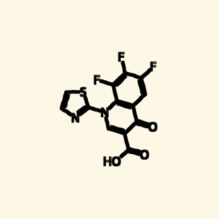 O=C(O)c1cn(-c2nccs2)c2c(F)c(F)c(F)cc2c1=O